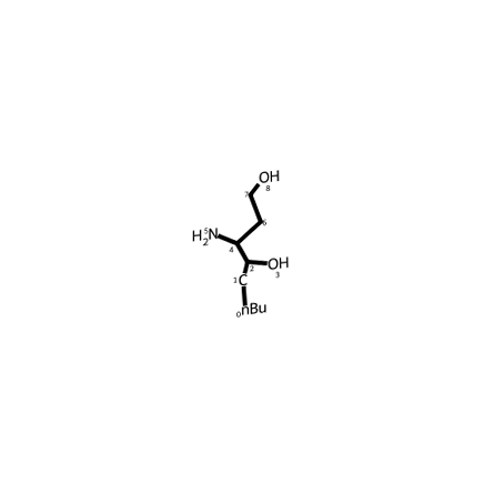 CCCCCC(O)C(N)CCO